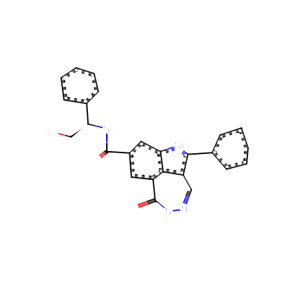 O=C(N[C@@H](CO)c1ccccc1)c1cc2c3c(c(-c4ccccc4)[nH]c3c1)C=NNC2=O